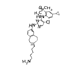 CP(C)(=O)c1cc(C2CC2)ccc1Nc1nc(Nc2ccc3c(c2)CC[C@@H](CCCCCN)CC3)ncc1Cl